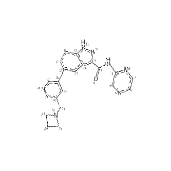 O=C(Nc1cnccn1)c1n[nH]c2ccc(-c3cncc(CN4CCC4)c3)cc12